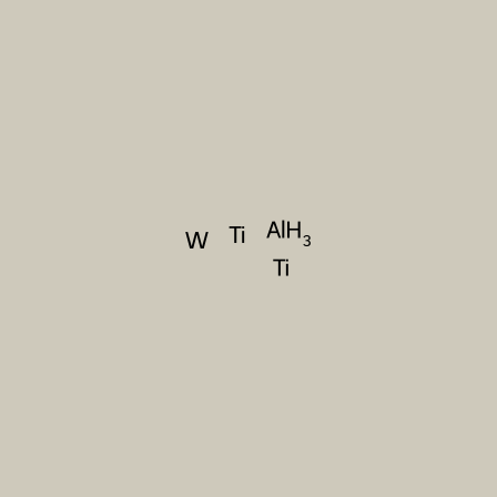 [AlH3].[Ti].[Ti].[W]